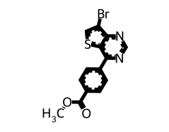 COC(=O)c1ccc(-c2ncnc3c(Br)csc23)cc1